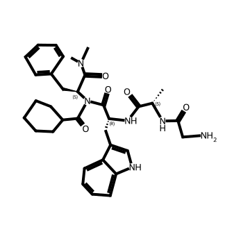 C[C@H](NC(=O)CN)C(=O)N[C@H](Cc1c[nH]c2ccccc12)C(=O)N(C(=O)C1CCCCC1)[C@@H](Cc1ccccc1)C(=O)N(C)C